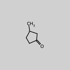 C[C]1CCC(=O)C1